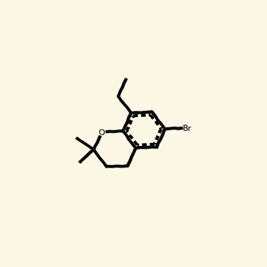 CCc1cc(Br)cc2c1OC(C)(C)CC2